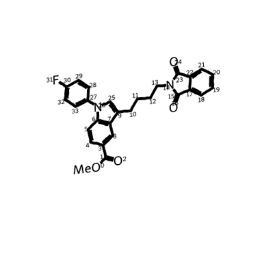 COC(=O)c1ccc2c(c1)c(CCCCN1C(=O)c3ccccc3C1=O)cn2-c1ccc(F)cc1